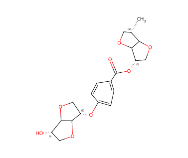 C[C@H]1COC2C1OC[C@@H]2OC(=O)c1ccc(O[C@H]2COC3C2OC[C@@H]3O)cc1